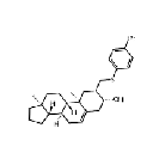 CC(C)c1ccc(SCC2C[C@@]3(C)C(=CC[C@H]4[C@@H]5CCC[C@@]5(C)CC[C@@H]43)C[C@H]2O)cc1